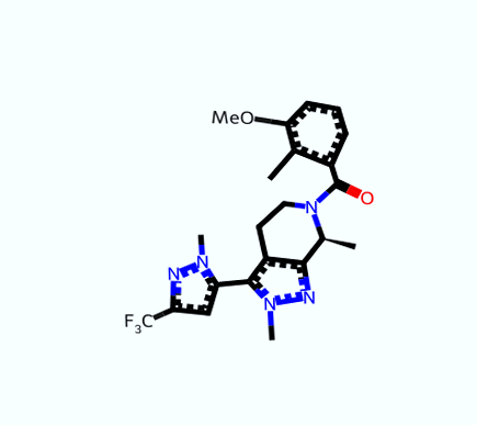 COc1cccc(C(=O)N2CCc3c(nn(C)c3-c3cc(C(F)(F)F)nn3C)[C@@H]2C)c1C